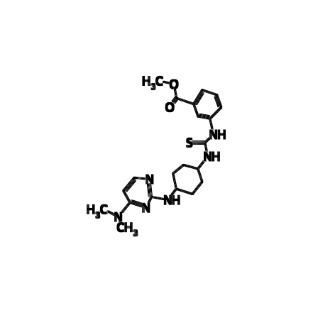 COC(=O)c1cccc(NC(=S)NC2CCC(Nc3nccc(N(C)C)n3)CC2)c1